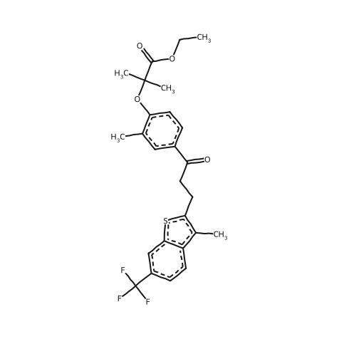 CCOC(=O)C(C)(C)Oc1ccc(C(=O)CCc2sc3cc(C(F)(F)F)ccc3c2C)cc1C